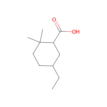 CCC1CCC(C)(C)C(C(=O)O)C1